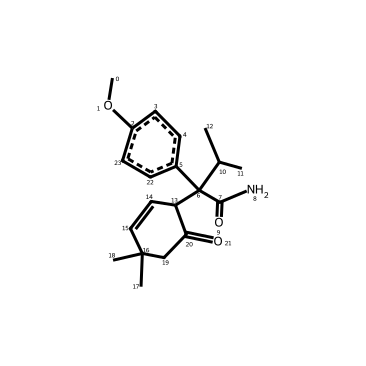 COc1ccc(C(C(N)=O)(C(C)C)C2C=CC(C)(C)CC2=O)cc1